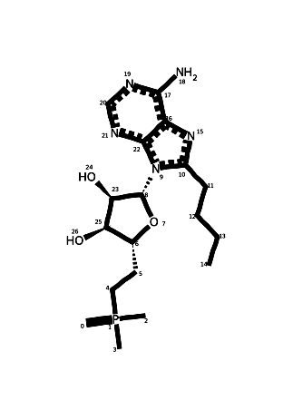 C=P(C)(C)CC[C@H]1O[C@@H](n2c(CCCC)nc3c(N)ncnc32)[C@H](O)[C@@H]1O